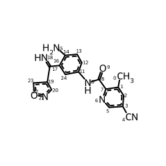 Cc1cc(C#N)cnc1C(=O)Nc1ccc(N)c(C(=N)c2cnoc2)c1